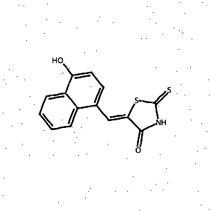 O=C1NC(=S)SC1=Cc1ccc(O)c2ccccc12